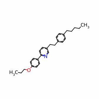 CCCCCc1ccc(CCc2ccc(-c3ccc(OCCC)cc3)nc2)cc1